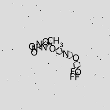 C[C@]1(COc2ccc(N3CCC(OC4C=CC(OC(F)(F)F)=CC4)CC3)cc2)Cn2cc([N+](=O)[O-])nc2O1